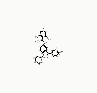 Cc1cncc(C)c1[C@H](C)Oc1ccc2c(c1)c(-c1ccc(F)nc1)nn2C1CCCCO1